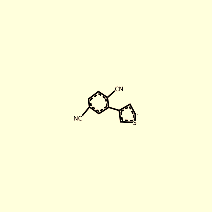 N#Cc1ccc(C#N)c(-c2c[c]sc2)c1